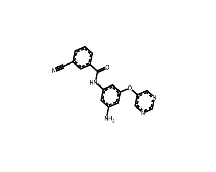 N#Cc1cccc(C(=O)Nc2cc(N)cc(Oc3cncnc3)c2)c1